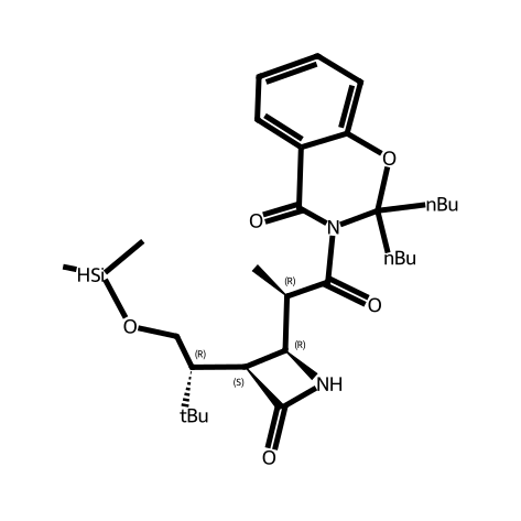 CCCCC1(CCCC)Oc2ccccc2C(=O)N1C(=O)[C@H](C)[C@H]1NC(=O)[C@H]1[C@@H](CO[SiH](C)C)C(C)(C)C